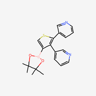 CC1(C)OB(c2csc(-c3cccnc3)c2-c2cccnc2)OC1(C)C